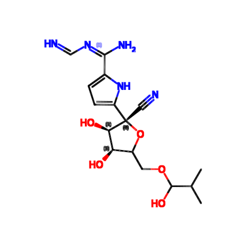 CC(C)C(O)OCC1O[C@@](C#N)(c2ccc(/C(N)=N\C=N)[nH]2)[C@H](O)[C@@H]1O